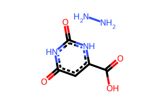 NN.O=C(O)c1cc(=O)[nH]c(=O)[nH]1